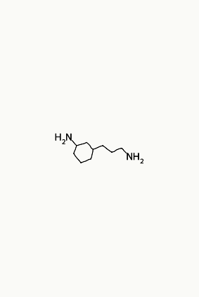 NCCCC1CCCC(N)C1